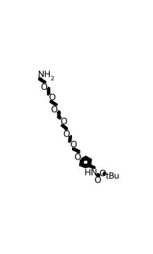 CC(C)(C)OC(=O)NCc1ccc(OCCOCCOCCOCCOCCOCCOCCN)cc1